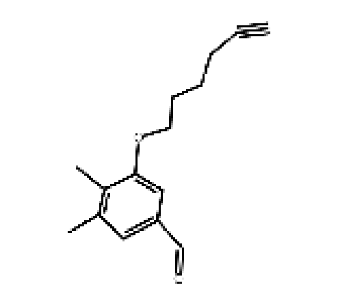 C#CCCCCOc1cc(C=O)cc(C)c1C